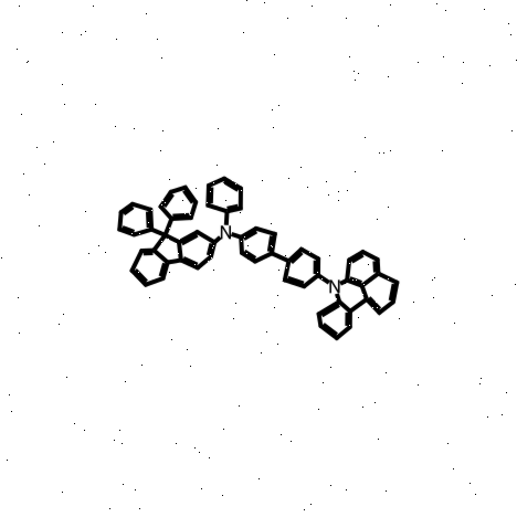 c1ccc(N(c2ccc(-c3ccc(N4c5ccccc5-c5cccc6cccc4c56)cc3)cc2)c2ccc3c(c2)C(c2ccccc2)(c2ccccc2)c2ccccc2-3)cc1